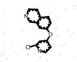 Clc1cc(Oc2ccc3ccncc3c2)ccn1